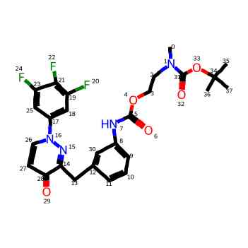 CN(CCOC(=O)Nc1cccc(Cc2nn(-c3cc(F)c(F)c(F)c3)ccc2=O)c1)C(=O)OC(C)(C)C